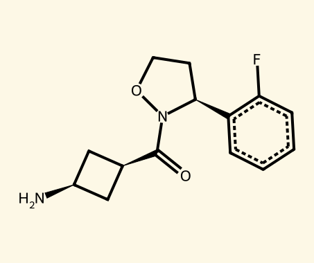 N[C@H]1C[C@@H](C(=O)N2OCC[C@H]2c2ccccc2F)C1